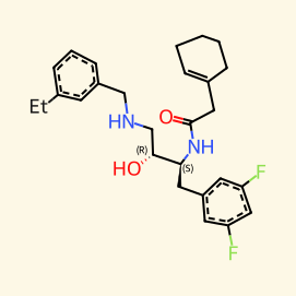 CCc1cccc(CNC[C@@H](O)[C@H](Cc2cc(F)cc(F)c2)NC(=O)CC2=CCCCC2)c1